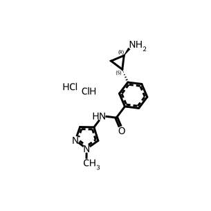 Cl.Cl.Cn1cc(NC(=O)c2cccc([C@@H]3C[C@H]3N)c2)cn1